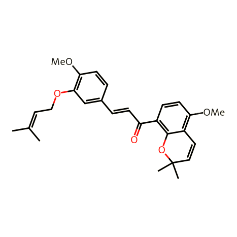 COc1ccc(C=CC(=O)c2ccc(OC)c3c2OC(C)(C)C=C3)cc1OCC=C(C)C